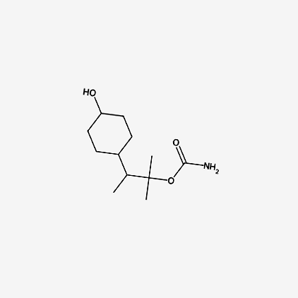 CC(C1CCC(O)CC1)C(C)(C)OC(N)=O